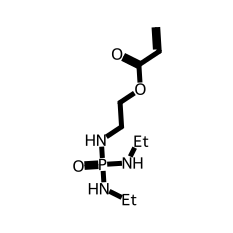 C=CC(=O)OCCNP(=O)(NCC)NCC